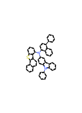 c1ccc(-c2ccc(N(c3ccc4c(c3)c3ccccc3n4-c3ccccc3)c3cccc4sc5c6ccccc6ccc5c34)c3ccccc23)cc1